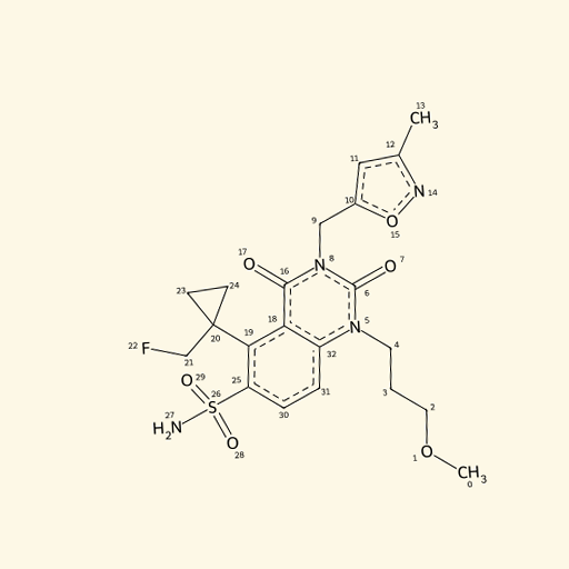 COCCCn1c(=O)n(Cc2cc(C)no2)c(=O)c2c(C3(CF)CC3)c(S(N)(=O)=O)ccc21